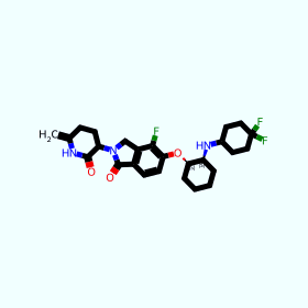 C=C1CCC(N2Cc3c(ccc(O[C@H]4CCCC[C@@H]4NC4CCC(F)(F)CC4)c3F)C2=O)C(=O)N1